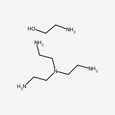 NCCN(CCN)CCN.NCCO